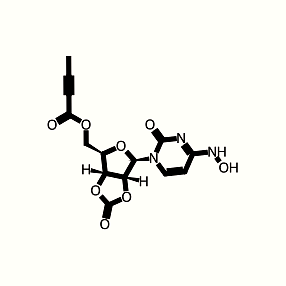 CC#CC(=O)OC[C@H]1O[C@@H](n2ccc(NO)nc2=O)[C@@H]2OC(=O)O[C@@H]21